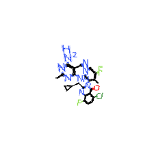 Cc1nc(N)c(C#N)c(N[C@H](c2nc3c(F)ccc(Cl)c3c(=O)n2-c2cncc(F)c2C)C2CC2)n1